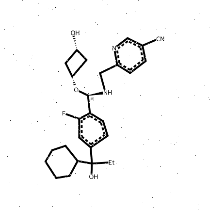 CCC(O)(c1ccc([C@H](NCc2ccc(C#N)cn2)O[C@H]2C[C@@H](O)C2)c(F)c1)C1CCCCC1